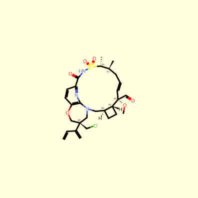 C=CC(=C)[C@]1(CCl)COc2ccc3nc2N(C[C@@H]2CC[C@H]2[C@@](C=O)(OC)/C=C/C[C@H](C)[C@@H](C)S(=O)(=O)NC3=O)C1